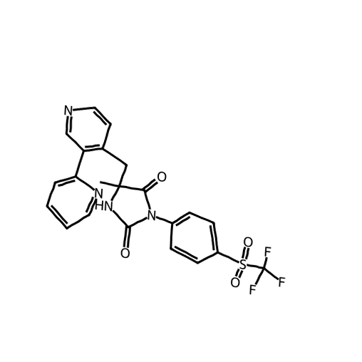 CC1(Cc2ccncc2-c2ccccn2)NC(=O)N(c2ccc(S(=O)(=O)C(F)(F)F)cc2)C1=O